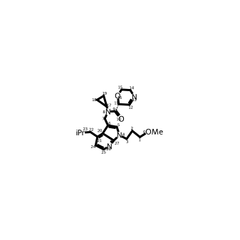 COCCCn1cc(CN(C(=O)[C@H]2C=NCCO2)C2CC2)c2c(CC(C)C)ccnc21